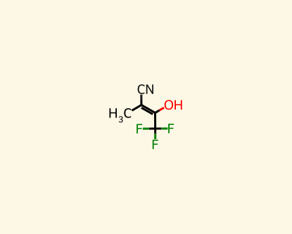 CC(C#N)=C(O)C(F)(F)F